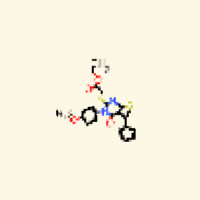 CCOC(=O)CSc1nc2scc(-c3ccccc3)c2c(=O)n1-c1ccc(OC)cc1